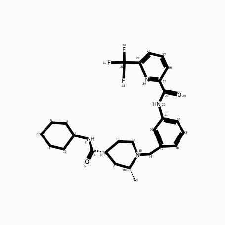 C[C@@H]1C[C@H](C(=O)NC2CCCCC2)CCN1Cc1cccc(NC(=O)c2cccc(C(F)(F)F)n2)c1